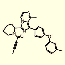 CC#CC(=O)N1CCCCC1c1nc(-c2ccc(Oc3cccc(C)c3)cc2)c2c(C)nccn12